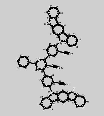 N#Cc1cc(-c2nc(-c3ccccc3)nc(-c3ccc(-n4c5ccccc5c5cc6c(cc54)sc4ccccc46)c(C#N)c3)c2C#N)ccc1-n1c2ccccc2c2cc3c(cc21)sc1ccccc13